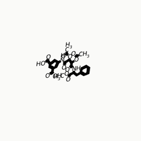 COC(=O)C(Cc1ccccc1)NC(=O)C(OC(C)=O)C(OC(C)=O)C(=O)Nc1cc(C(=O)O)cc(C(=O)O)c1